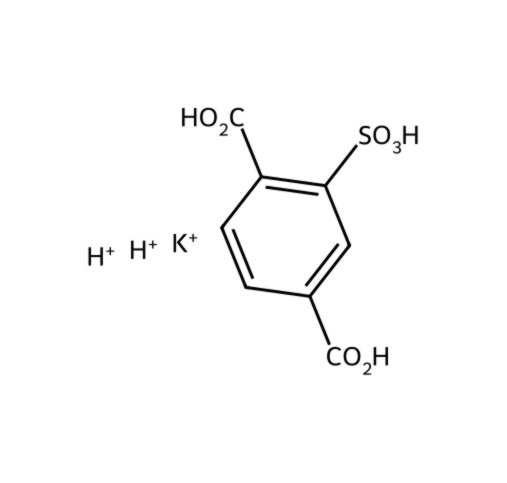 O=C(O)c1ccc(C(=O)O)c(S(=O)(=O)O)c1.[H+].[H+].[K+]